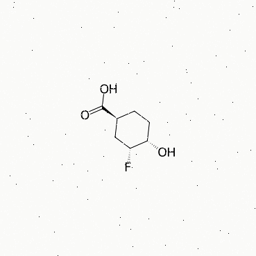 O=C(O)[C@H]1CC[C@H](O)[C@H](F)C1